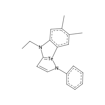 CCN1C2=[Te](c3cc(C)c(C)cc31)N(c1ccccc1)C=C2